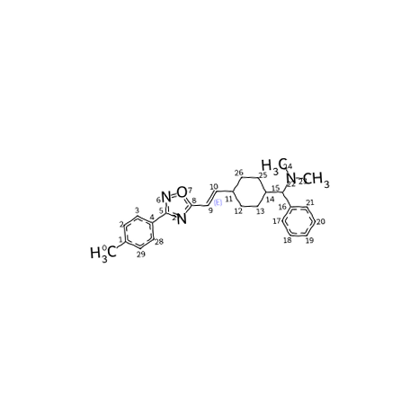 Cc1ccc(-c2noc(/C=C/C3CCC(C(c4ccccc4)N(C)C)CC3)n2)cc1